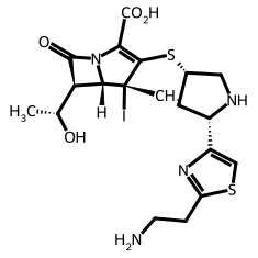 C[C@@H](O)[C@H]1C(=O)N2C(C(=O)O)=C(S[C@@H]3CN[C@H](c4csc(CCN)n4)C3)[C@](C)(I)[C@H]12